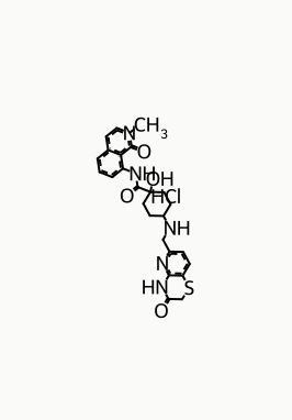 Cl.Cn1ccc2cccc(NC(=O)C3(O)CCC(NCc4ccc5c(n4)NC(=O)CS5)CC3)c2c1=O